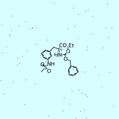 CCOC(=O)[C@H](Cc1cccc(NS(C)(=O)=O)c1)NC(=O)OCc1ccccc1